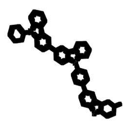 CC1C=Cc2sc3ccc(-c4ccc(-n5c6ccccc6c6cc(-c7ccc8c(c7)c7ccccc7n8C7=CC=CCC7)ccc65)cc4)cc3c2C1